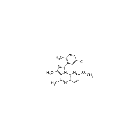 COc1ccc2nc(C)c3c(C)nc(-c4cc(Cl)ccc4C)n3c2n1